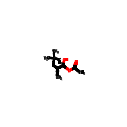 C=C(C[Si](C)(C)C)C(O)OC(C)=O